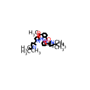 COC(=O)c1cccc(C(=O)OC)c1N(c1cccc(-c2ccc(C(C)(C)C)nc2)n1)c1cccc(-c2ccc(C(C)(C)C)nc2)n1